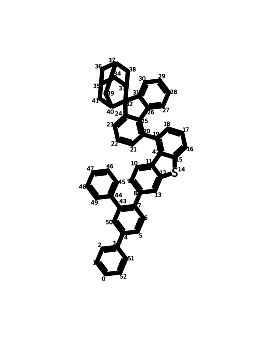 c1ccc(-c2ccc(-c3ccc4c(c3)sc3cccc(-c5cccc6c5-c5ccccc5C65C6CC7CC(C6)CC5C7)c34)c(-c3ccccc3)c2)cc1